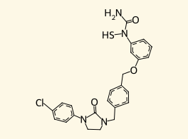 NC(=O)N(S)c1cccc(OCc2ccc(CN3CCN(c4ccc(Cl)cc4)C3=O)cc2)c1